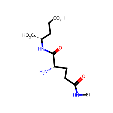 CCNC(=O)CC[C@H](N)C(=O)N[C@@H](CCC(=O)O)C(=O)O